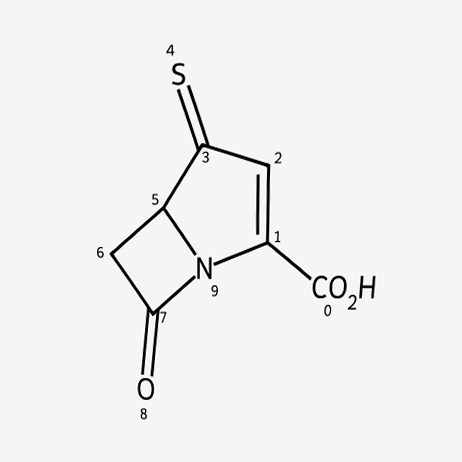 O=C(O)C1=CC(=S)C2CC(=O)N12